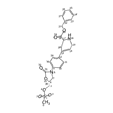 CS(=O)(=O)OC[C@H]1CN(c2ccc(C3=CCNC(C(=O)OCc4ccccc4)C3)cc2)C(=O)O1